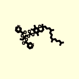 CCC(COC(=O)Oc1c(C)c(C)c2c(c1C)CCC(C)(CCCC(C)CCCC(C)CCCC(C)C)O2)(OC(=O)c1cccnc1)OC(=O)c1cccnc1